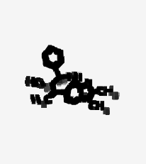 C=C1c2ccn3c(C)c(C)nc3c2N[C@H](c2ccccc2)[C@H]1O